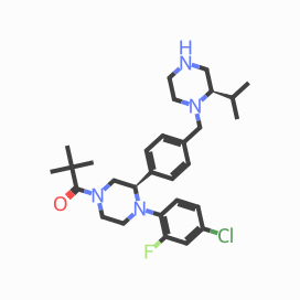 CC(C)[C@@H]1CNCCN1Cc1ccc([C@@H]2CN(C(=O)C(C)(C)C)CCN2c2ccc(Cl)cc2F)cc1